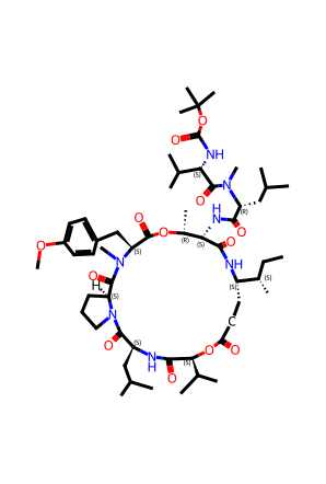 CC[C@H](C)[C@@H]1CCC(=O)O[C@@H](C(C)C)C(=O)N[C@@H](CC(C)C)C(=O)N2CCC[C@H]2C(=O)N(C)[C@@H](Cc2ccc(OC)cc2)C(=O)O[C@H](C)[C@H](NC(=O)[C@@H](CC(C)C)N(C)C(=O)[C@@H](NC(=O)OC(C)(C)C)C(C)C)C(=O)N1